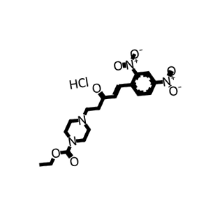 CCOC(=O)N1CCN(CCC(=O)C=Cc2ccc([N+](=O)[O-])cc2[N+](=O)[O-])CC1.Cl